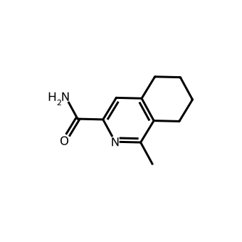 Cc1nc(C(N)=O)cc2c1CCCC2